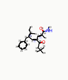 CC/C(C)=C(/C=C(\C=C(/C)C(=O)NC)C(=O)CC(C)(C)C)Cc1ccccc1